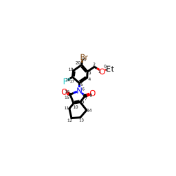 CCOCc1cc(N2C(=O)C3=C(CCCC3)C2=O)c(F)cc1Br